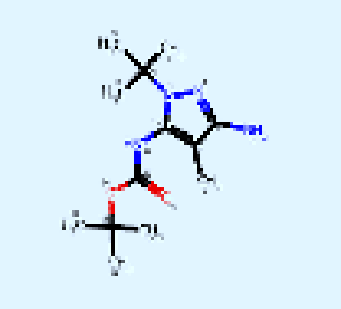 Cc1c(N)nn(C(C)(C)C)c1NC(=O)OC(C)(C)C